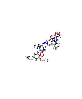 Cc1cc(C(=O)O)ccc1Oc1ccc(CN2CCC(N3C(=O)N(C4CCOCC4)C[C@H]3c3ccccc3)CC2)c(C)n1